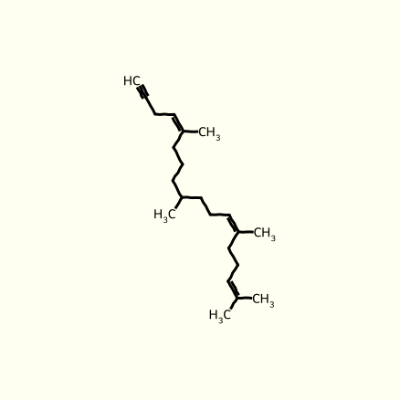 C#CCC=C(C)CCCC(C)CCC=C(C)CCC=C(C)C